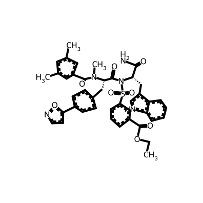 CCOC(=O)c1cccc(S(=O)(=O)N(C(=O)[C@H](Cc2ccc(-c3ccno3)cc2)N(C)C(=O)c2cc(C)cc(C)c2)[C@@H](Cc2c[nH]c3ccccc23)C(N)=O)c1